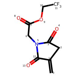 C=C1CC(=O)N(CC(=O)OCC(F)(F)F)C1=O